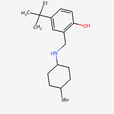 CCC(C)(C)c1ccc(O)c(CNC2CCC(C(C)(C)C)CC2)c1